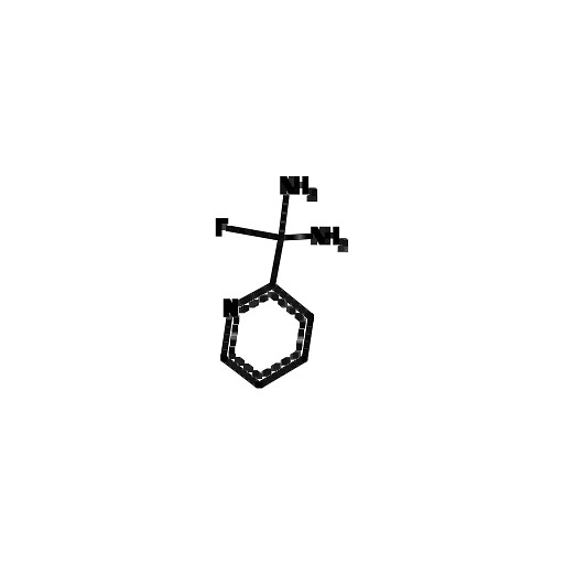 NC(N)(F)c1ccccn1